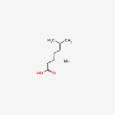 CC(C)CCCCC(=O)O.[Nb]